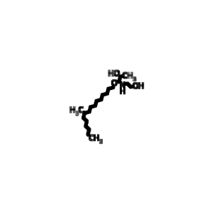 CCCCCCC(C)CCCCCCCCCOC(NCCO)C(C)O